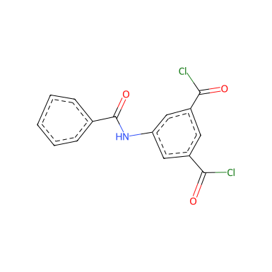 O=C(Cl)c1cc(NC(=O)c2ccccc2)cc(C(=O)Cl)c1